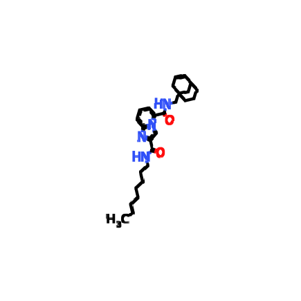 CCCCCCCCNC(=O)c1cn2c(C(=O)NCC34CC=CC(CCC3)C4)cccc2n1